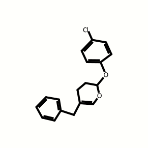 Clc1ccc(OC2CCC(Cc3ccccc3)=CO2)cc1